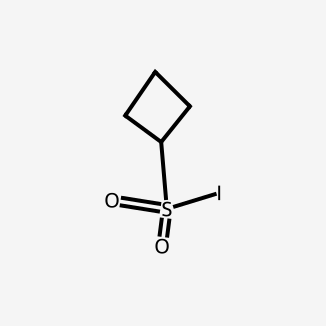 O=S(=O)(I)C1CCC1